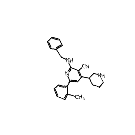 Cc1ccccc1-c1cc(C2CCCNC2)c(C#N)c(NCc2ccccc2)n1